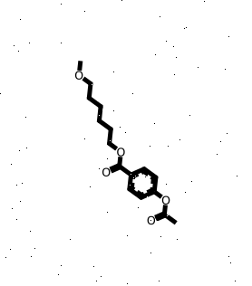 COCCCCCCOC(=O)c1ccc(OC(C)=O)cc1